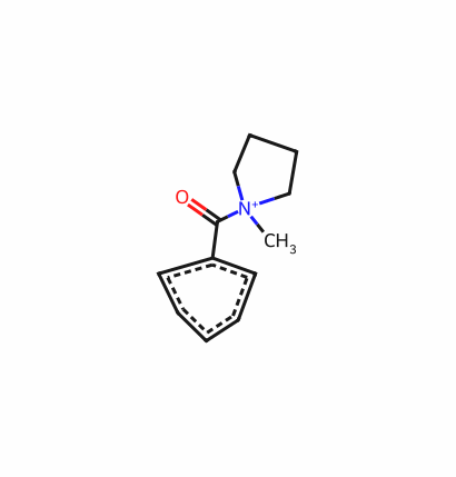 C[N+]1(C(=O)c2ccccc2)CCCC1